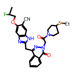 CCSC1CCN(C(=O)Cn2nc(Cc3nc4cc(OCC(C)F)c(C#N)cc4[nH]3)c3ccccc3c2=O)CC1